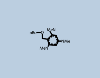 [CH2]CCCOCc1c(NC)cc(NC)cc1NC